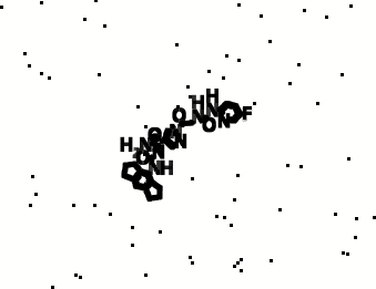 NS(=O)(=NC(=O)Nc1c2c(cc3c1CCC3)CCC2)c1cnn(C(=O)CNC(=O)Nc2ccc(F)cn2)c1